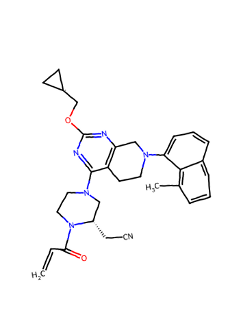 C=CC(=O)N1CCN(c2nc(OC[C]3CC3)nc3c2CCN(c2cccc4cccc(C)c24)C3)C[C@@H]1CC#N